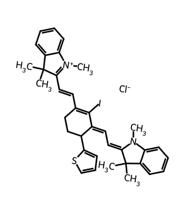 CN1C(=CC=C2C(I)=C(C=CC3=[N+](C)c4ccccc4C3(C)C)CCC2c2cccs2)C(C)(C)c2ccccc21.[Cl-]